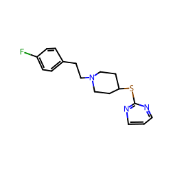 Fc1ccc(CCN2CCC(Sc3ncccn3)CC2)cc1